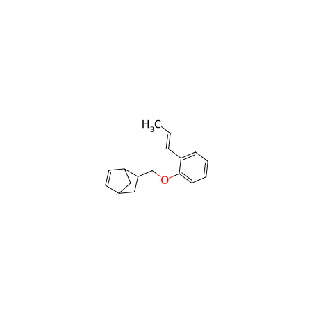 C/C=C/c1ccccc1OCC1CC2C=CC1C2